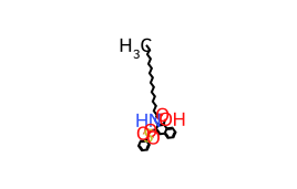 CCCCCCCCCCCCCCCC(=O)Nc1c(OS(=O)(=O)c2ccccc2)cc2ccccc2c1O